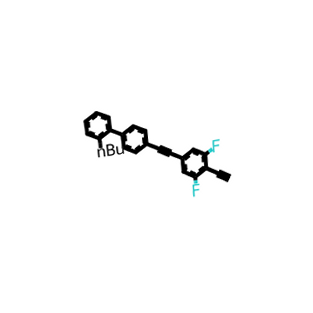 C#Cc1c(F)cc(C#Cc2ccc(-c3ccccc3CCCC)cc2)cc1F